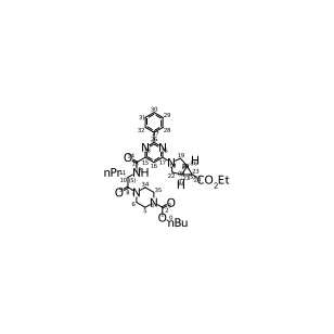 CCCCOC(=O)N1CCN(C(=O)[C@H](CCC)NC(=O)c2cc(N3C[C@@H]4[C@H](C3)[C@@H]4C(=O)OCC)nc(-c3ccccc3)n2)CC1